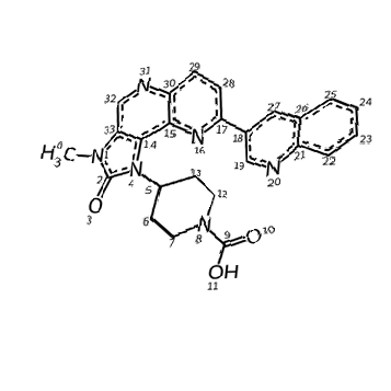 Cn1c(=O)n(C2CCN(C(=O)O)CC2)c2c3nc(-c4cnc5ccccc5c4)ccc3ncc21